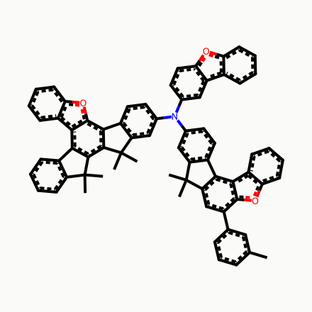 Cc1cccc(-c2cc3c(c4c2oc2ccccc24)-c2ccc(N(c4ccc5c(c4)C(C)(C)c4c6c(c7c(oc8ccccc87)c4-5)-c4ccccc4C6(C)C)c4ccc5oc6ccccc6c5c4)cc2C3(C)C)c1